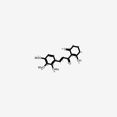 COc1ccc(/C=C/C(=O)C2=C(O)CCCC2=O)c(OC)c1OC